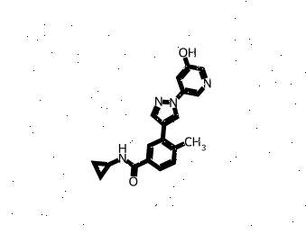 Cc1ccc(C(=O)NC2CC2)cc1-c1cnn(-c2cncc(O)c2)c1